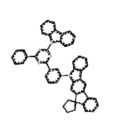 c1ccc(-c2nc(-c3cccc(-n4c5ccccc5c5cc6c(cc54)C4(CCCC4)c4ccccc4-6)c3)nc(-n3c4ccccc4c4ccccc43)n2)cc1